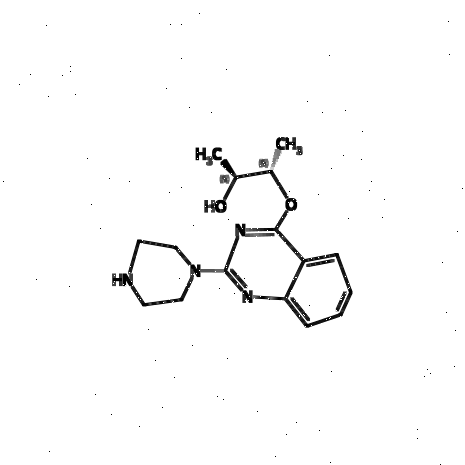 C[C@H](O)[C@H](C)Oc1nc(N2CCNCC2)nc2ccccc12